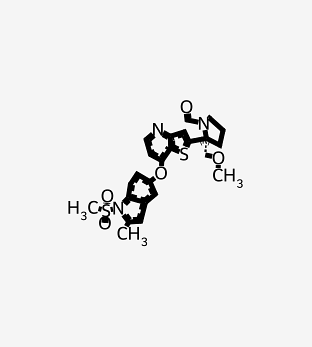 COC[C@@]1(c2cc3nccc(Oc4ccc5c(c4)cc(C)n5S(C)(=O)=O)c3s2)CCCN1C=O